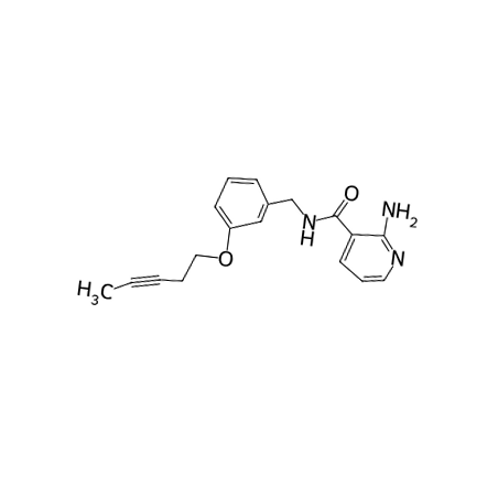 CC#CCCOc1cccc(CNC(=O)c2cccnc2N)c1